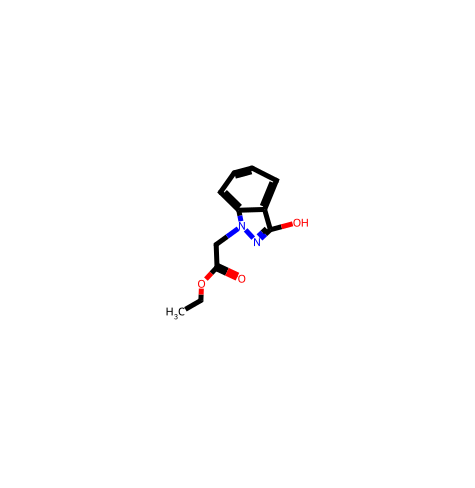 CCOC(=O)Cn1nc(O)c2ccccc21